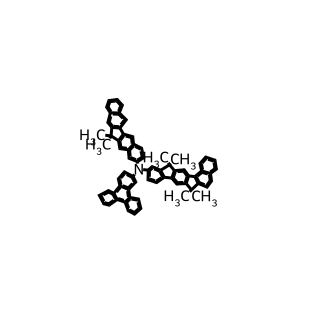 CC1(C)c2cc(N(c3ccc4cc5c(cc4c3)C(C)(C)c3cc4ccccc4cc3-5)c3ccc4c5ccccc5c5ccccc5c4c3)ccc2-c2cc3c(cc21)-c1c(ccc2ccccc12)C3(C)C